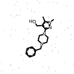 Cc1c(CO)c(N2CCN(Cc3ccccc3)CC2)nn1C